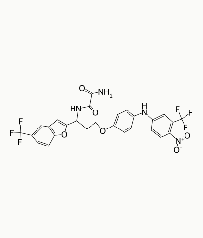 NC(=O)C(=O)NC(CCOc1ccc(Nc2ccc([N+](=O)[O-])c(C(F)(F)F)c2)cc1)c1cc2cc(C(F)(F)F)ccc2o1